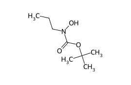 CCCN(O)C(=O)OC(C)(C)C